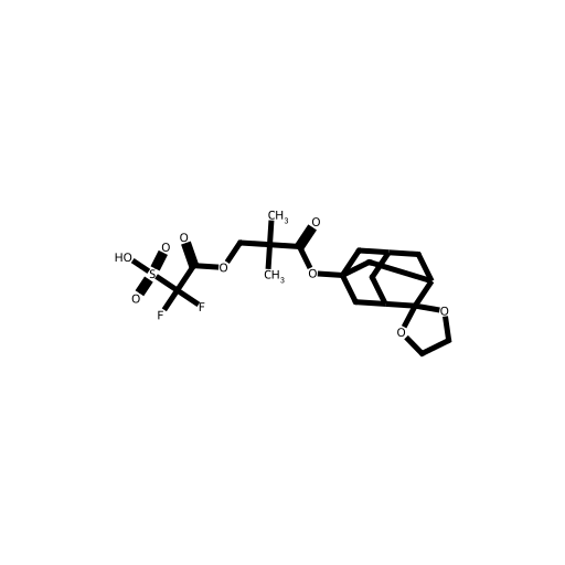 CC(C)(COC(=O)C(F)(F)S(=O)(=O)O)C(=O)OC12CC3CC(C1)C1(OCCO1)C(C3)C2